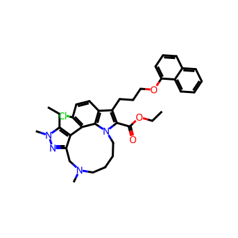 CCOC(=O)c1c(CCCOc2cccc3ccccc23)c2ccc(Cl)c3c2n1CCCCN(C)Cc1nn(C)c(CC)c1-3